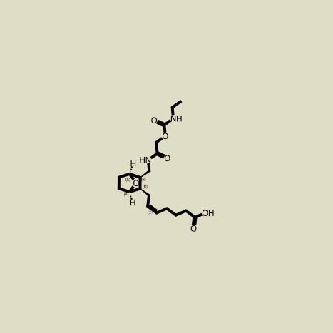 CCNC(=O)OCC(=O)NC[C@H]1[C@@H](C/C=C\CCCC(=O)O)[C@H]2CC[C@@H]1O2